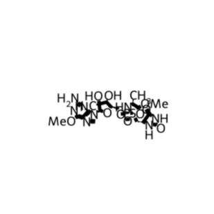 COC(=O)[C@@H](C)NP(=O)(OC[C@H]1O[C@@H](n2cnc3c(OC)nc(N)nc32)[C@](C)(O)[C@@H]1O)SC[C@H]1NC(=O)NC1=O